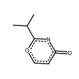 CC(C)c1nc(=O)cco1